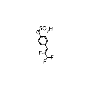 O=S(=O)(O)Oc1ccc(C=C(F)C(F)F)cc1